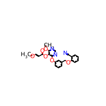 COC=CC(=O)Oc1c(OC)ncnc1Oc1cccc(COc2ccccc2C#N)c1